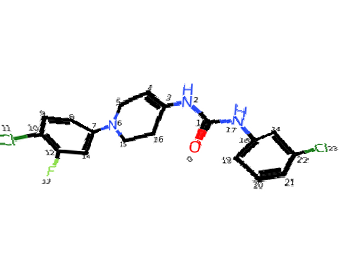 O=C(NC1=CCN(c2ccc(Cl)c(F)c2)CC1)Nc1cccc(Cl)c1